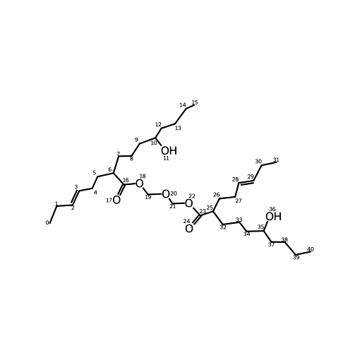 CCC=CCCC(CCCC(O)CCCC)C(=O)OCOCOC(=O)C(CCC=CCC)CCCC(O)CCCC